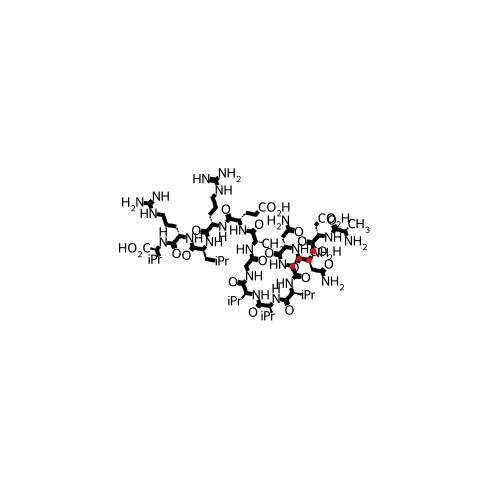 CC(C)C[C@H](NC(=O)[C@H](CCCNC(=N)N)NC(=O)[C@H](CCC(=O)O)NC(=O)[C@H](C)NC(=O)CNC(=O)[C@@H](NC(=O)[C@@H](NC(=O)[C@@H](NC(=O)[C@H](CCC(=O)O)NC(=O)[C@H](CC(N)=O)NC(=O)[C@H](CC(N)=O)NC(=O)[C@H](CC(=O)O)NC(=O)[C@H](C)N)C(C)C)C(C)C)C(C)C)C(=O)N[C@@H](CCCNC(=N)N)C(=O)N[C@H](C(=O)O)C(C)C